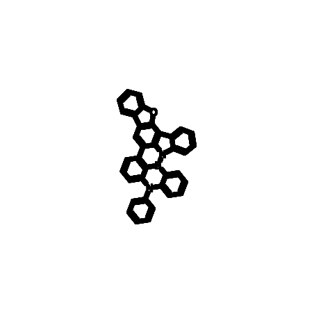 c1ccc(N2c3ccccc3B3c4c(cccc42)-c2cc4c5ccccc5oc4c4c5ccccc5n3c24)cc1